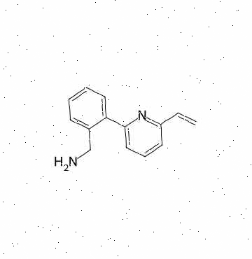 C=Cc1cccc(-c2ccccc2CN)n1